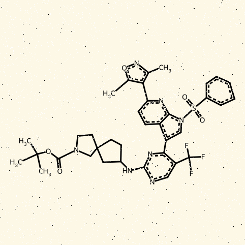 Cc1noc(C)c1-c1ccc2c(-c3nc(NC4CCC5(CCN(C(=O)OC(C)(C)C)C5)C4)ncc3C(F)(F)F)cn(S(=O)(=O)c3ccccc3)c2n1